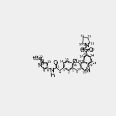 Cc1cc(CC(=O)Nc2cnn(C(C)(C)C)c2)ccc1Oc1ccnc2ccc(S(=O)(=O)N3CCCC3)cc12